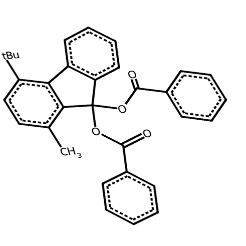 Cc1ccc(C(C)(C)C)c2c1C(OC(=O)c1ccccc1)(OC(=O)c1ccccc1)c1ccccc1-2